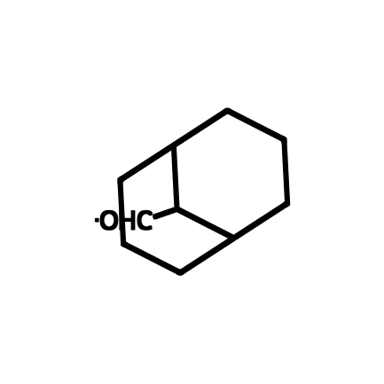 O=[C]C1C2CCCC1CCC2